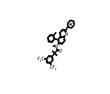 Cc1ccccc1-c1c(N(C)C(=O)C(C)(C)c2cc(C(F)(F)F)cc(C(F)(F)F)c2)ccc2nc(N3CC4CCC3CC4)ccc12